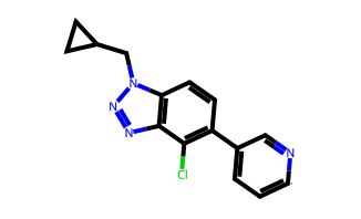 Clc1c(-c2cc[c]nc2)ccc2c1nnn2CC1CC1